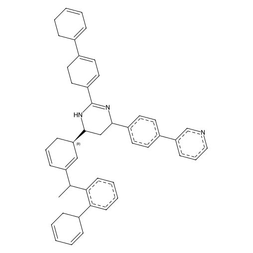 CC(C1=C[C@H](C2CC(c3ccc(-c4cccnc4)cc3)N=C(C3=CC=C(C4=CC=CCC4)CC3)N2)CC=C1)c1ccccc1C1C=CC=CC1